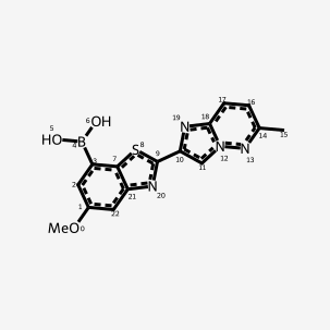 COc1cc(B(O)O)c2sc(-c3cn4nc(C)ccc4n3)nc2c1